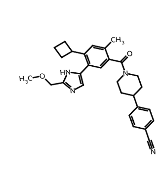 COCc1ncc(-c2cc(C(=O)N3CCC(c4ccc(C#N)cc4)CC3)c(C)cc2C2CCC2)[nH]1